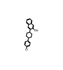 Oc1cc2ccccc2cc1C1CCC(c2ccc(Cl)cc2)CC1